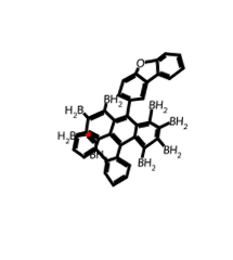 Bc1c(B)c(B)c2c(-c3ccccc3-c3ccccc3)c3c(B)c(B)c(B)c(B)c3c(-c3ccc4oc5ccccc5c4c3)c2c1B